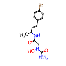 CC(C=Cc1ccc(Br)cc1)NC(=O)CN(O)C(N)=O